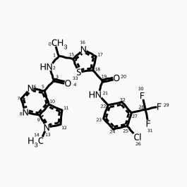 CC(NC(=O)c1ncnc2c1ccn2C)c1ncc(C(=O)Nc2ccc(Cl)c(C(F)(F)F)c2)s1